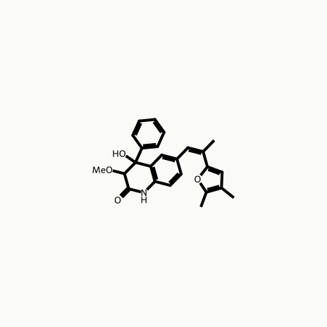 COC1C(=O)Nc2ccc(C=C(C)c3cc(C)c(C)o3)cc2C1(O)c1ccccc1